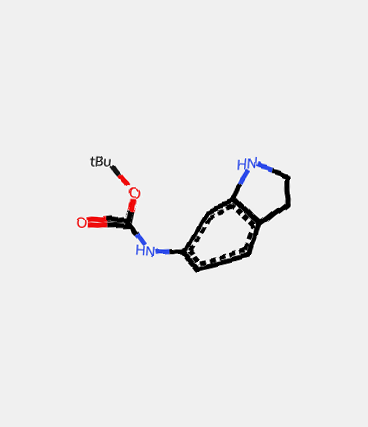 CC(C)(C)OC(=O)Nc1ccc2c(c1)NCC2